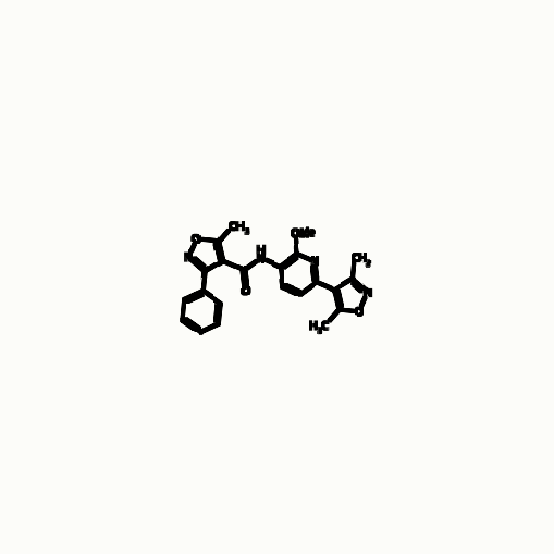 COc1nc(-c2c(C)noc2C)ccc1NC(=O)c1c(-c2ccccc2)noc1C